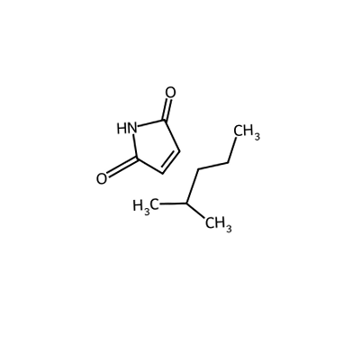 CCCC(C)C.O=C1C=CC(=O)N1